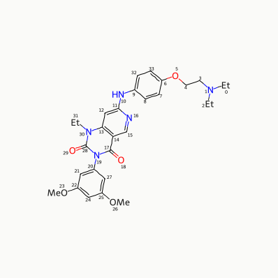 CCN(CC)CCOc1ccc(Nc2cc3c(cn2)c(=O)n(-c2cc(OC)cc(OC)c2)c(=O)n3CC)cc1